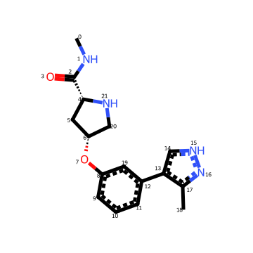 CNC(=O)[C@H]1C[C@@H](Oc2c[c]cc(-c3c[nH]nc3C)c2)CN1